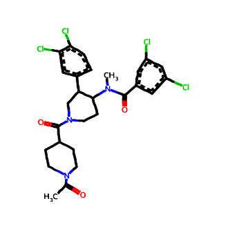 CC(=O)N1CCC(C(=O)N2CCC(N(C)C(=O)c3cc(Cl)cc(Cl)c3)C(c3ccc(Cl)c(Cl)c3)C2)CC1